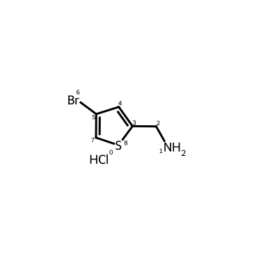 Cl.NCc1cc(Br)cs1